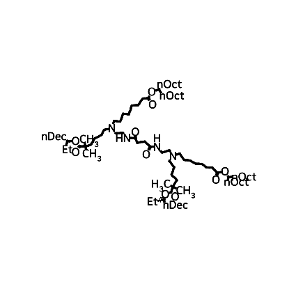 CCCCCCCCCCC(CC)OC(=O)C(C)(C)CCCCN(CCCCCCCC(=O)OC(CCCCCCCC)CCCCCCCC)CCNC(=O)CCC(=O)NCCN(CCCCCCCC(=O)OC(CCCCCCCC)CCCCCCCC)CCCCC(C)(C)C(=O)O[C@H](CC)CCCCCCCCCC